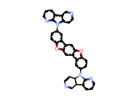 C1=CC2C(C=N1)c1cccnc1N2c1ccc2oc3cc4c(cc3c2c1)oc1ccc(-n2c3ccncc3c3cccnc32)cc14